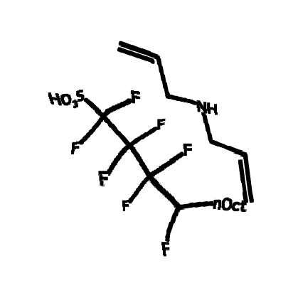 C=CCNCC=C.CCCCCCCCC(F)C(F)(F)C(F)(F)C(F)(F)S(=O)(=O)O